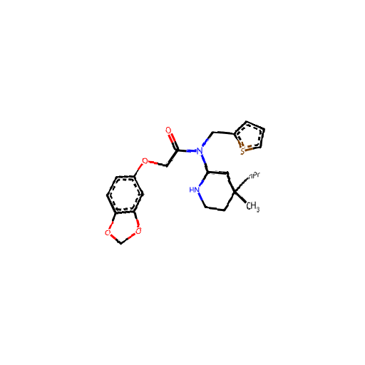 CCCC1(C)CCNC(N(Cc2cccs2)C(=O)COc2ccc3c(c2)OCO3)C1